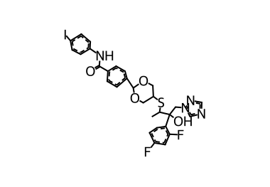 CC(SC1COC(c2ccc(C(=O)Nc3ccc(I)cc3)cc2)OC1)C(O)(Cn1cncn1)c1ccc(F)cc1F